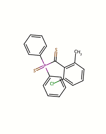 Cc1cccc(Cl)c1C(=S)P(=S)(c1ccccc1)c1ccccc1